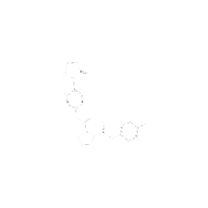 O=C(Nc1ccc(Cl)cc1)C1CCCN1C(=O)Cc1ccc(N2CCCC2=O)cc1